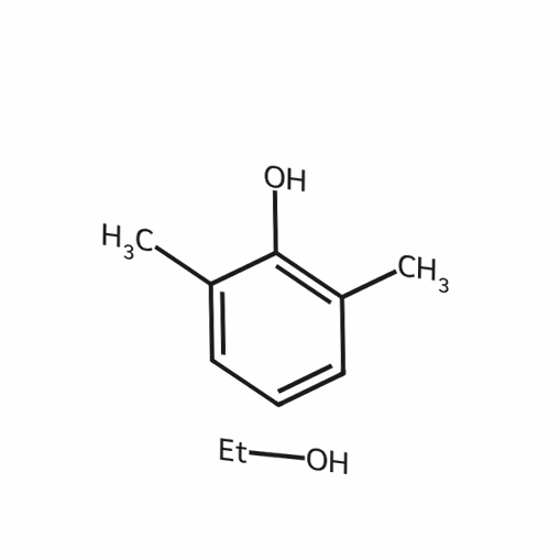 CCO.Cc1cccc(C)c1O